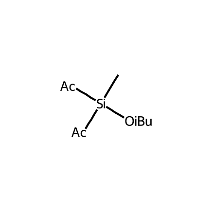 CC(=O)[Si](C)(OCC(C)C)C(C)=O